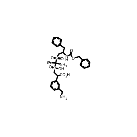 CC(C)C(N)(P(=O)(O)CC(C(=O)O)c1cccc(CN)c1)S(=O)(=O)CC(Cc1ccccc1)NC(=O)OCc1ccccc1